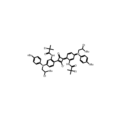 CCCCc1ccc(N(CC(CC)CCCC)c2ccc(C3=C([O-])/C(=C4C=C/C(=[N+](\CC(CC)CCCC)c5ccc(CCCC)cc5)C=C/4NC(=O)C(C)(C)CC)C3=O)c(NC(=O)C(C)(C)CC)c2)cc1